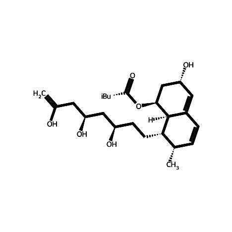 C=C(O)C[C@H](O)C[C@H](O)CC[C@@H]1[C@@H]2C(=C[C@@H](O)C[C@@H]2OC(=O)[C@@H](C)CC)C=C[C@@H]1C